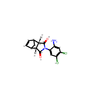 Nc1cc(Cl)c(Cl)cc1N1C(=O)[C@@H]2C3C=CC(C3)[C@@H]2C1=O